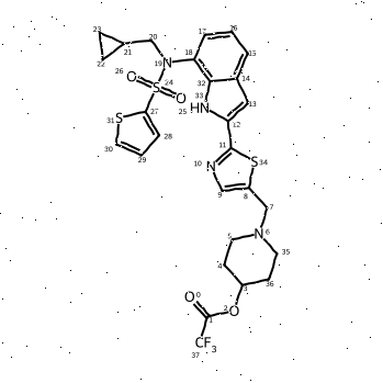 O=C(OC1CCN(Cc2cnc(-c3cc4cccc(N(CC5CC5)S(=O)(=O)c5cccs5)c4[nH]3)s2)CC1)C(F)(F)F